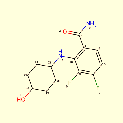 NC(=O)c1ccc(F)c(F)c1NC1CCC(O)CC1